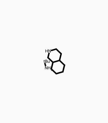 C1CCC2CNCCC2C1.CC(C)(C)N